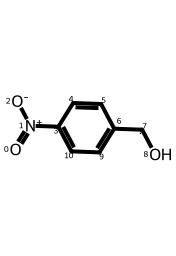 O=[N+]([O-])c1ccc([C]O)cc1